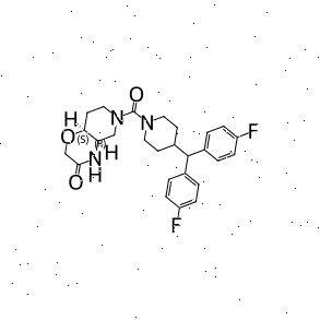 O=C1CO[C@H]2CCN(C(=O)N3CCC(C(c4ccc(F)cc4)c4ccc(F)cc4)CC3)C[C@H]2N1